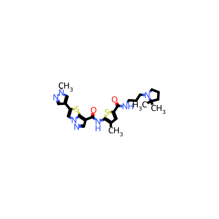 Cc1cc(C(=O)NCCCN2CCCC2(C)C)sc1NC(=O)c1cnn2cc(-c3cnn(C)c3)sc12